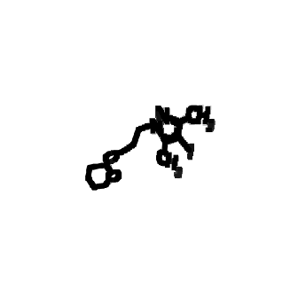 Cc1nn(CCOC2CCCCO2)c(C)c1I